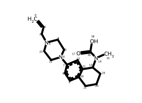 C=CCN1CCN(c2ccc3c(c2)C(N(C)C(=O)O)CCC3)CC1